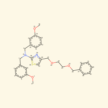 COc1cccc(CN(Cc2cccc(OC)c2)c2nc(COCCOCc3ccccc3)cs2)c1